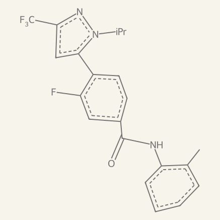 Cc1ccccc1NC(=O)c1ccc(-c2cc(C(F)(F)F)nn2C(C)C)c(F)c1